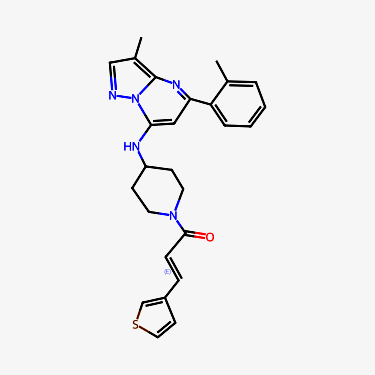 Cc1ccccc1-c1cc(NC2CCN(C(=O)/C=C/c3ccsc3)CC2)n2ncc(C)c2n1